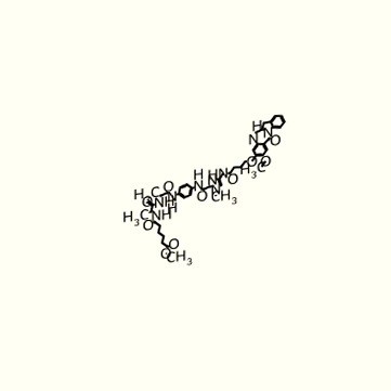 COC(=O)CCCCC(=O)N[C@@H](C)C(=O)N[C@@H](C)C(=O)Nc1ccc(NC(=O)c2nc(NC(=O)CCCOc3cc4c(cc3OC)C(=O)N3c5ccccc5C[C@H]3C=N4)cn2C)cc1